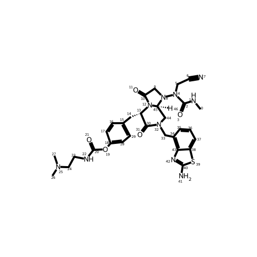 CNC(=O)N(CC#N)N1CC(=O)N2[C@@H](Cc3ccc(OC(=O)NCCN(C)C)cc3)C(=O)N(Cc3cccc4sc(N)nc34)C[C@@H]21